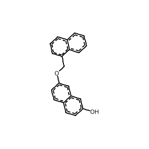 Oc1ccc2ccc(OCc3cccc4ccccc34)cc2c1